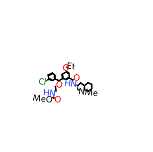 CCOc1cc(C(=O)N[C@H](CNC)CC2CCCCC2)cc(C(OCCNC(=O)OC)c2cccc(Cl)c2)c1